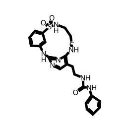 O=C(NCCc1cnc2nc1NCCCNS(=O)(=O)c1cccc(c1)N2)Nc1ccccc1